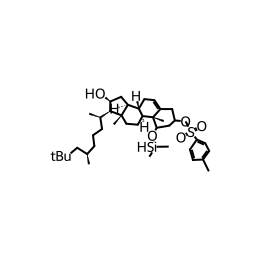 Cc1ccc(S(=O)(=O)OC2CC3=CC[C@H]4[C@@H]5C[C@H](O)[C@H]([C@H](C)CCC[C@@H](C)CC(C)(C)C)[C@@]5(C)CC[C@@H]4[C@@]3(C)C(O[SiH](C)C)C2)cc1